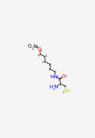 NC(CS)C(=O)NCCCCCCO[N+](=O)[O-]